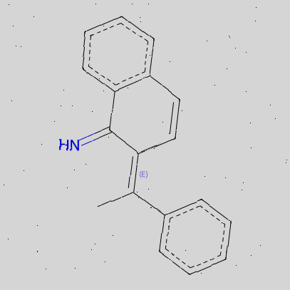 C/C(=C1/C=Cc2ccccc2C1=N)c1ccccc1